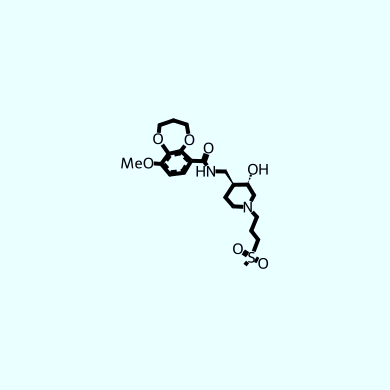 COc1ccc(C(=O)NC[C@@H]2CCN(CCCS(C)(=O)=O)C[C@H]2O)c2c1OCCCO2